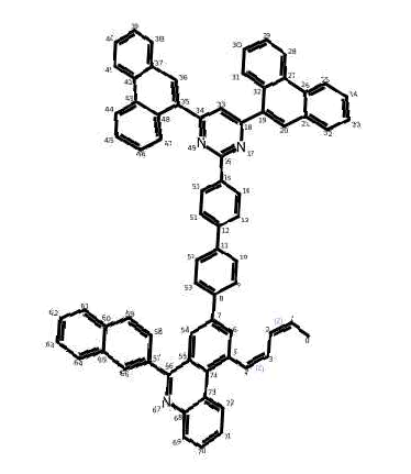 C/C=C\C=C/c1cc(-c2ccc(-c3ccc(-c4nc(-c5cc6ccccc6c6ccccc56)cc(-c5cc6ccccc6c6ccccc56)n4)cc3)cc2)cc2c(-c3ccc4ccccc4c3)nc3ccccc3c12